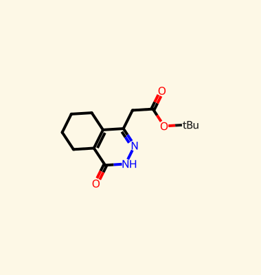 CC(C)(C)OC(=O)Cc1n[nH]c(=O)c2c1CCCC2